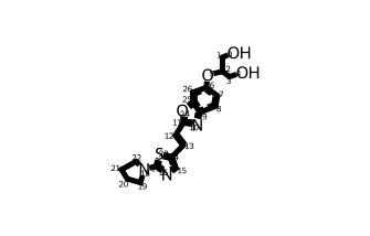 OCC(CO)Oc1ccc2nc(/C=C/c3cnc(N4CCCC4)s3)oc2c1